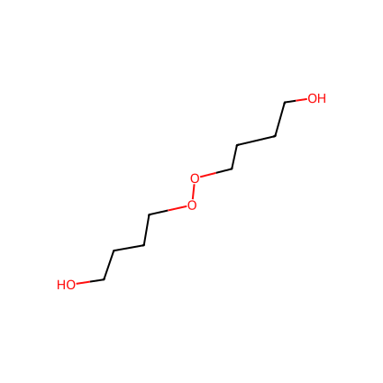 OCCCCOOCCCCO